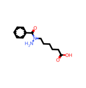 NN(CCCCCC(=O)O)C(=O)c1ccccc1